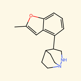 Cc1cc2c(C3CNN4CCC3CC4)cccc2o1